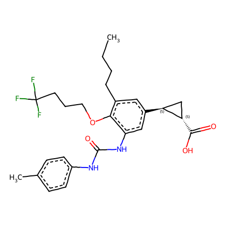 CCCCc1cc([C@H]2C[C@@H]2C(=O)O)cc(NC(=O)Nc2ccc(C)cc2)c1OCCCC(F)(F)F